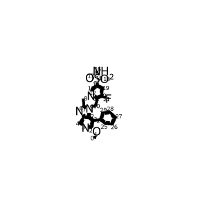 COc1ncc2nc(C)n(Cc3ncc(S(N)(=O)=O)cc3F)c2c1-c1ccccc1